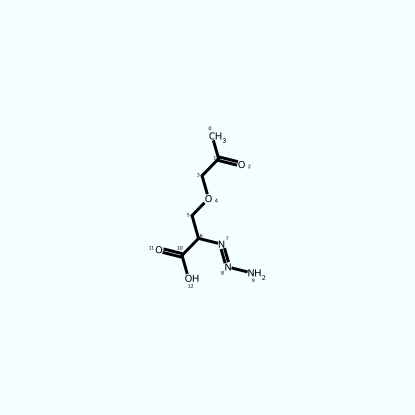 CC(=O)COCC(N=NN)C(=O)O